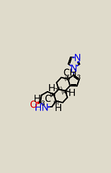 C[C@]12CC[C@H]3[C@@H](CC[C@H]4CNC(=O)CC[C@@]43C)C1=CC=C2n1ccnc1